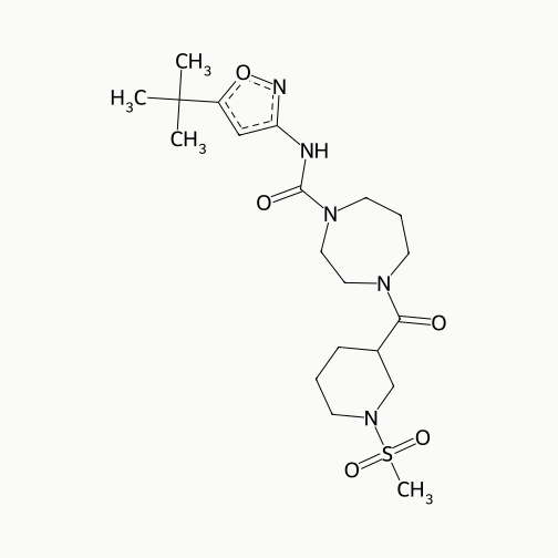 CC(C)(C)c1cc(NC(=O)N2CCCN(C(=O)C3CCCN(S(C)(=O)=O)C3)CC2)no1